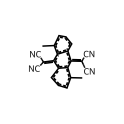 Cc1cccc2c(=C(C#N)C#N)c3c(C)cccc3c(=C(C#N)C#N)c12